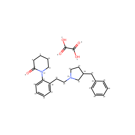 O=C(O)C(=O)O.O=C1CCCCN1c1ccccc1CCN1CCC(Cc2ccccc2)C1